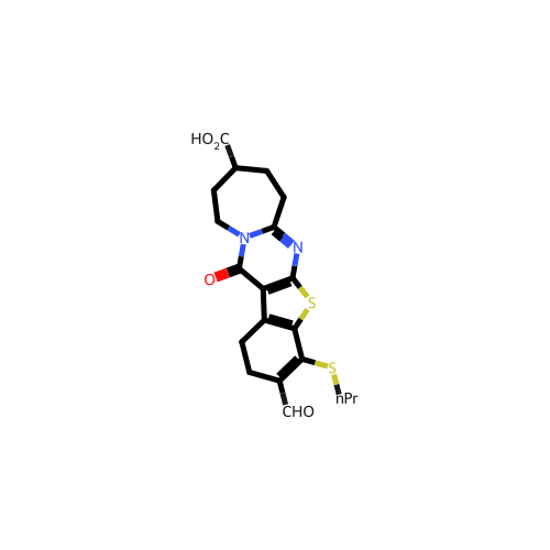 CCCSC1=C(C=O)CCc2c1sc1nc3n(c(=O)c21)CCC(C(=O)O)CC3